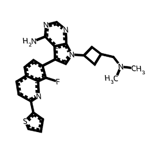 CN(C)CC1CC(n2cc(-c3ccc4ccc(-c5cccs5)nc4c3F)c3c(N)ncnc32)C1